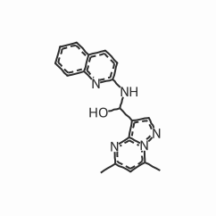 Cc1cc(C)n2ncc(C(O)Nc3ccc4ccccc4n3)c2n1